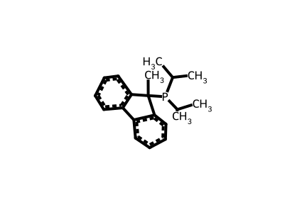 CC(C)P(C(C)C)C1(C)c2ccccc2-c2ccccc21